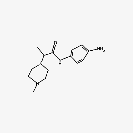 CC(C(=O)Nc1ccc(N)cc1)N1CCN(C)CC1